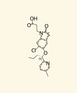 CCC[C@H](Oc1cc2sc(=O)n(CCC(=O)O)c2cc1Cl)c1ccc(C)cn1